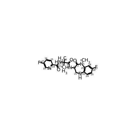 CN1C(=O)C(NC(=O)C(C)(C)NC(=O)c2ccc(F)cn2)CNc2ccc(F)cc21